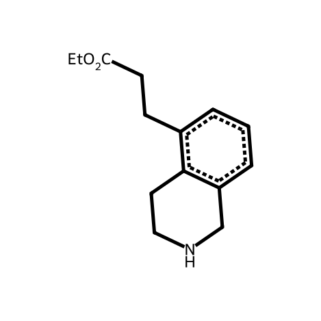 CCOC(=O)CCc1cccc2c1CCNC2